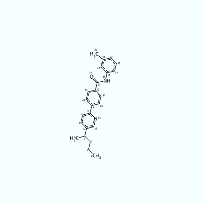 CCCC(C)c1ccc(-c2ccc(C(=O)Nc3cccc(C)c3)cc2)nc1